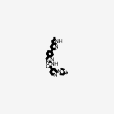 Cc1cc2cc(-c3ccc4cnc(NC(=O)c5ccnc(N6CCN(C)CC6)c5)nc4c3)cnc2[nH]1